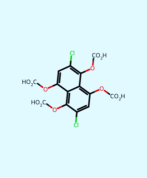 O=C(O)Oc1cc(Cl)c(OC(=O)O)c2c(OC(=O)O)cc(Cl)c(OC(=O)O)c12